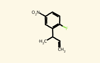 [CH2]C(C=C)c1cc([N+](=O)[O-])ccc1F